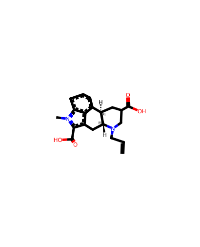 C=CCN1CC(C(=O)O)C[C@@H]2c3cccc4c3c(c(C(=O)O)n4C)C[C@H]21